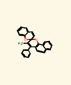 CC1=C(c2ccccc2)c2ccc3ccccc3c2OC12C=Cc1ccccc1O2